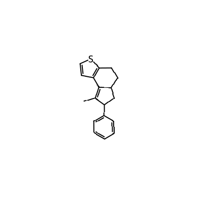 CC1=C2c3ccsc3CCC2CC1c1ccccc1